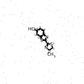 C[C@H]1CSC(c2nc3ccc(O)cc3s2)=N1